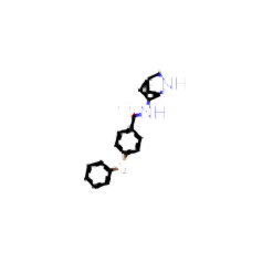 O=C(NC1CC2CNC1C2)c1ccc(Sc2ccccc2)cc1